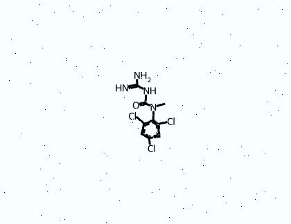 CN(C(=O)NC(=N)N)c1c(Cl)cc(Cl)cc1Cl